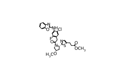 COC(=O)CCc1cnc([C@@H]2C[C@H](OC)CN2C(=O)Cc2cc(Cl)c(Nc3nc4ccccc4o3)cc2F)s1